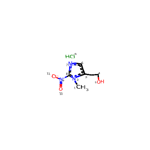 Cl.Cn1c(CO)cnc1[N+](=O)[O-]